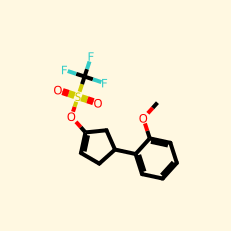 COc1ccccc1C1CC=C(OS(=O)(=O)C(F)(F)F)C1